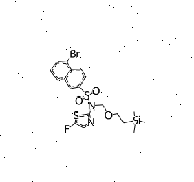 C[Si](C)(C)CCOCN(c1ncc(F)s1)S(=O)(=O)c1ccc2c(Br)cccc2c1